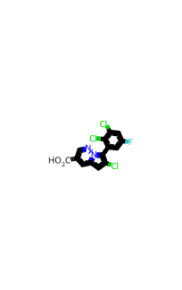 O=C(O)c1cnn2c(-c3cc(F)cc(Cl)c3Cl)c(Cl)cc2c1